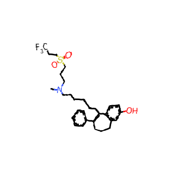 CN(CCCCCCC1=C(c2ccccc2)CCCc2cc(O)ccc21)CCCS(=O)(=O)CCC(F)(F)F